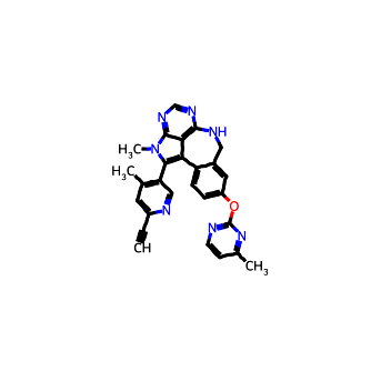 C#Cc1cc(C)c(-c2c3c4c(ncnc4n2C)NCc2cc(Oc4nccc(C)n4)ccc2-3)cn1